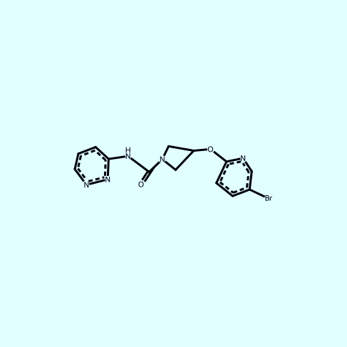 O=C(Nc1cccnn1)N1CC(Oc2ccc(Br)cn2)C1